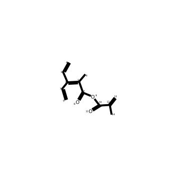 C=CC(C=C)=C(C)C(=O)OC(=O)C(=C)C